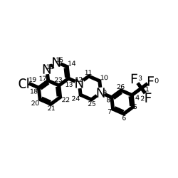 FC(F)(F)c1cccc(N2CCN(c3cnnc4c(Cl)cccc34)CC2)c1